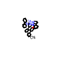 CC1(n2c3c(c4c2C=CCC4)CCC=C3)CC(c2ccccc2C2=CCCCC2C2C=CC=C(C#N)C2)CC(N2c3ccccc3C3CCC=NC32)N1